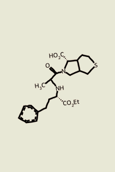 CCOC(=O)[C@H](CCc1ccccc1)NC(C)C(=O)N1CC2CSCCC2[C@H]1C(=O)O